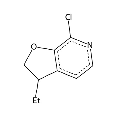 CCC1COc2c1ccnc2Cl